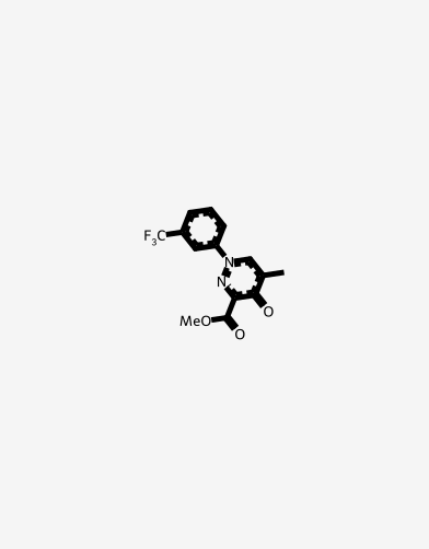 COC(=O)c1nn(-c2cccc(C(F)(F)F)c2)cc(C)c1=O